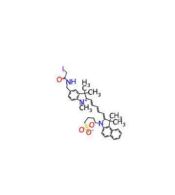 C[N+]1=C(/C=C/C=C/C=C2\N(CCCCS(=O)(=O)[O-])c3ccc4ccccc4c3C2(C)C)C(C)(C)c2cc(CNC(=O)CI)ccc21